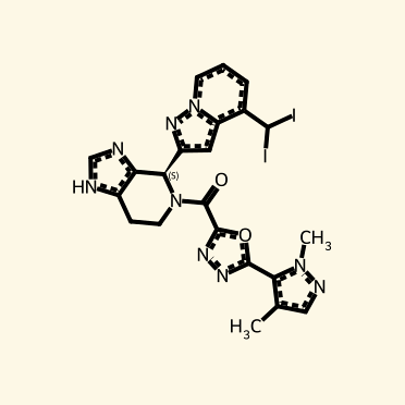 Cc1cnn(C)c1-c1nnc(C(=O)N2CCc3[nH]cnc3[C@H]2c2cc3c(C(I)I)cccn3n2)o1